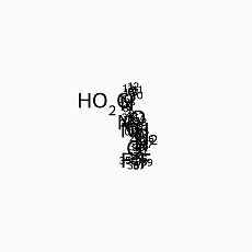 Nc1ncc(CCN(Cc2ccccc2)C(=O)O)c2occ(-c3ccc4c(c3)CCN4C(=O)Cc3cc(F)ccc3F)c12